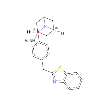 CC(=O)N[C@H]1CC2C[C@@H](C1)N2Cc1ccc(Cc2nc3ccccc3s2)cc1